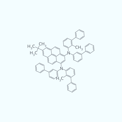 Cc1c(-c2ccccc2)cccc1N(c1cccc(-c2ccccc2)c1)c1cc(N(c2cccc(-c3ccccc3)c2)c2cccc(-c3ccccc3)c2C)c2ccc3cc(C(C)(C)C)cc4ccc1c2c43